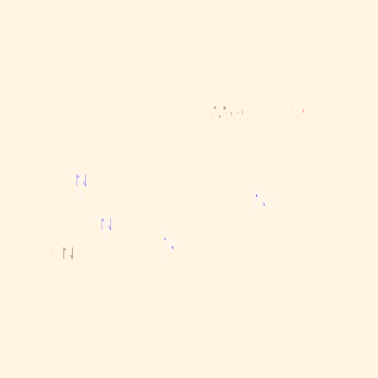 COC(=O)c1cn(CCCN2CCCN(c3ncccc3C#N)CC2)c2ccccc12